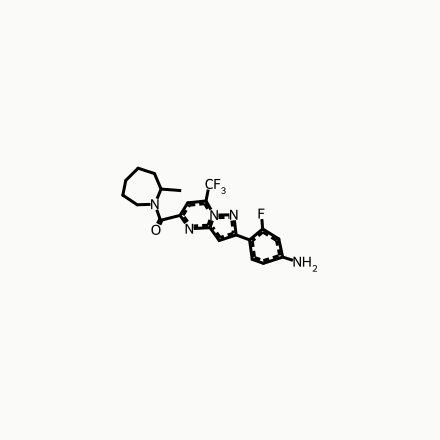 CC1CCCCCN1C(=O)c1cc(C(F)(F)F)n2nc(-c3ccc(N)cc3F)cc2n1